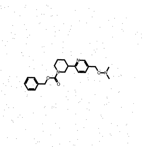 CN(C)OCc1ccc(C2CCCN(C(=O)OCc3ccccc3)C2)nc1